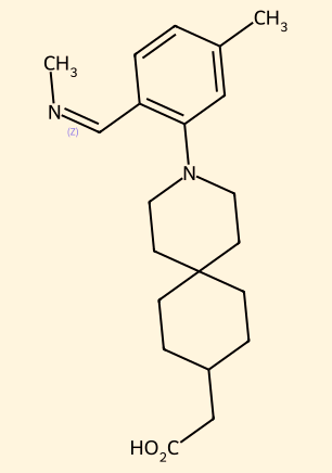 C/N=C\c1ccc(C)cc1N1CCC2(CCC(CC(=O)O)CC2)CC1